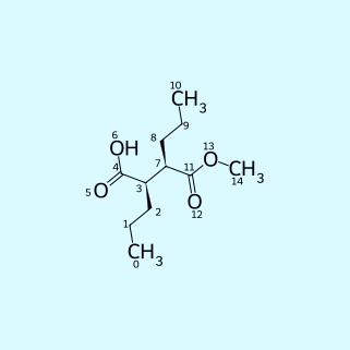 CCC[C@@H](C(=O)O)[C@@H](CCC)C(=O)OC